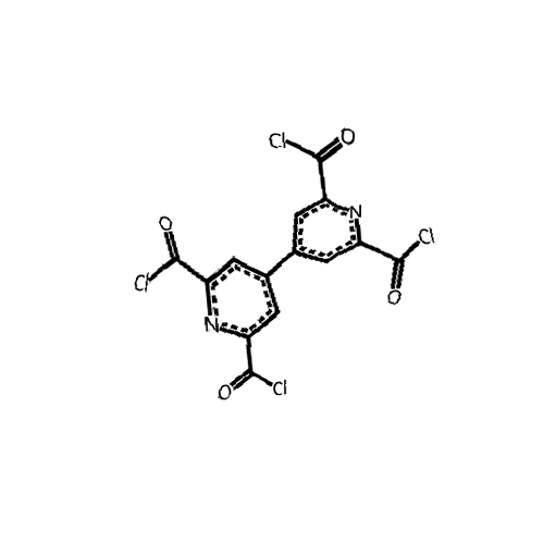 O=C(Cl)c1cc(-c2cc(C(=O)Cl)nc(C(=O)Cl)c2)cc(C(=O)Cl)n1